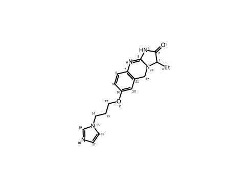 CCC1C(=O)NC2=Nc3ccc(OCCCn4ccnc4)cc3CN21